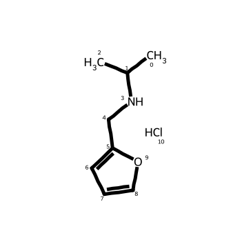 CC(C)NCc1ccco1.Cl